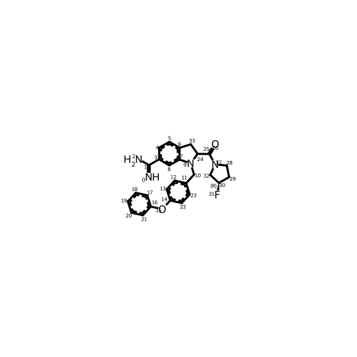 N=C(N)c1ccc2c(c1)N(Cc1ccc(Oc3ccccc3)cc1)C(C(=O)N1CC[C@@H](F)C1)C2